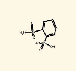 NS(=O)(=O)c1ccccc1P(=O)(O)O